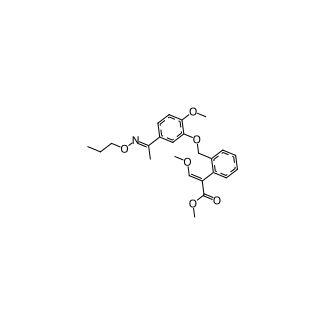 CCCO/N=C(\C)c1ccc(OC)c(OCc2ccccc2/C(=C\OC)C(=O)OC)c1